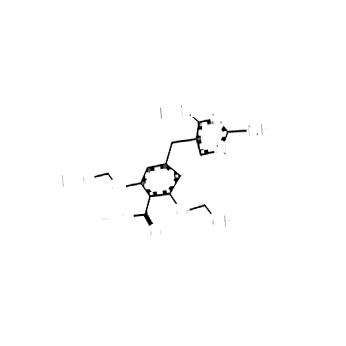 CCOc1cc(Cc2cnc(N)nc2N)cc(OCC)c1C(C)=O